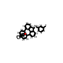 Cc1cccc(N=C2c3cccc(-c4ccc(Cl)cc4)c3-c3c2cccc3-c2ccc(Cl)cc2)c1